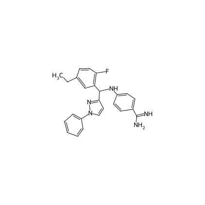 CCc1ccc(F)c(C(Nc2ccc(C(=N)N)cc2)c2ccn(-c3ccccc3)n2)c1